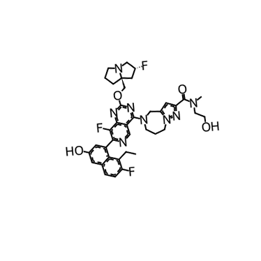 CCc1c(F)ccc2cc(O)cc(-c3ncc4c(N5CCCn6nc(C(=O)N(C)CCO)cc6C5)nc(OC[C@@]56CCCN5C[C@H](F)C6)nc4c3F)c12